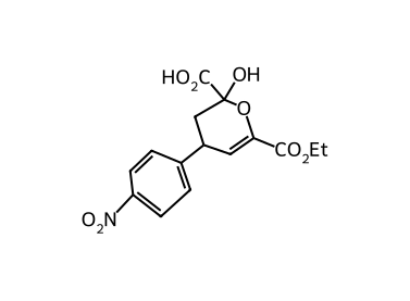 CCOC(=O)C1=CC(c2ccc([N+](=O)[O-])cc2)CC(O)(C(=O)O)O1